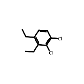 CCc1[c]cc(Cl)c(Cl)c1CC